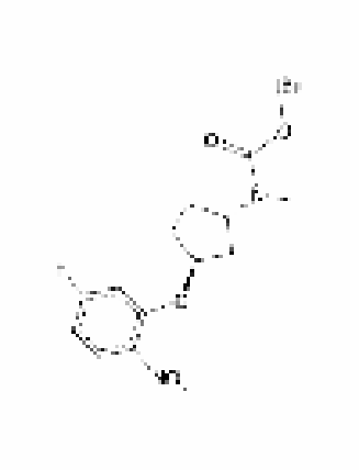 CN(C(=O)OC(C)(C)C)[C@H]1CC[C@H](Oc2cc(F)ccc2[N+](=O)[O-])C1